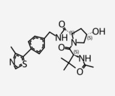 CC(=O)N[C@H](C(=O)N1C[C@@H](O)C[C@H]1C(=O)NCc1ccc(-c2scnc2C)cc1)C(C)(C)C